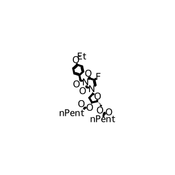 CCCCCC(=O)OC[C@H]1O[C@@H](n2cc(F)c(=O)n(C(=O)c3ccc(OCC)cc3)c2=O)C[C@@H]1OC(=O)CCCCC